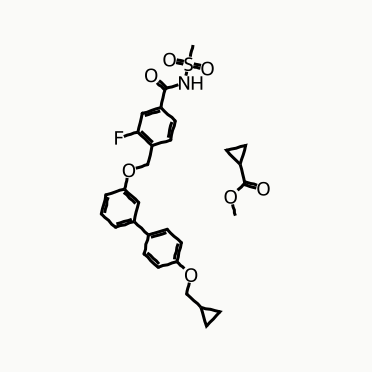 COC(=O)C1CC1.CS(=O)(=O)NC(=O)c1ccc(COc2cccc(-c3ccc(OCC4CC4)cc3)c2)c(F)c1